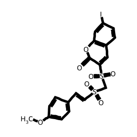 COc1ccc(C=CS(=O)(=O)CS(=O)(=O)c2cc3ccc(I)cc3oc2=O)cc1